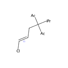 CC(=O)C(C/C=C/Cl)(C(C)=O)C(C)C